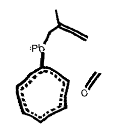 C=O.C=[C](C)[Pb][c]1ccccc1